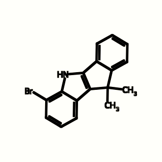 CC1(C)c2ccccc2-c2[nH]c3c(Br)cccc3c21